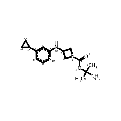 CC(C)(C)OC(=O)N1CC(Nc2cc(C3CC3)ccn2)C1